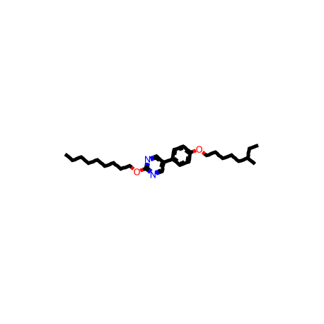 CCCCCCCCCOc1ncc(-c2ccc(OCCCCCC(C)CC)cc2)cn1